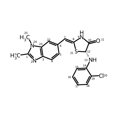 Cc1nc2ccc(C=C3NC(=O)[C@H](Nc4ccccc4Cl)S3)cc2n1C